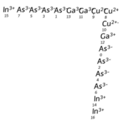 [As-3].[As-3].[As-3].[As-3].[As-3].[As-3].[As-3].[As-3].[Cu+2].[Cu+2].[Cu+2].[Ga+3].[Ga+3].[Ga+3].[In+3].[In+3].[In+3]